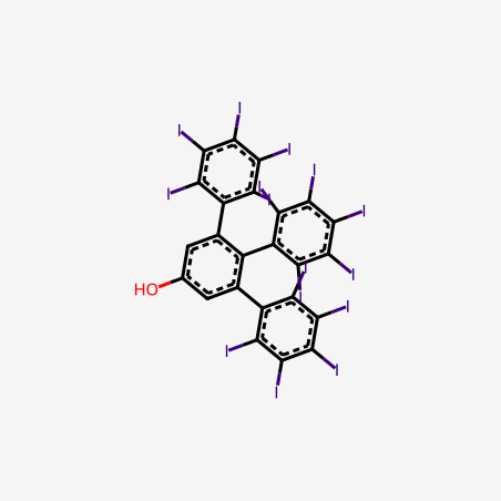 Oc1cc(-c2c(I)c(I)c(I)c(I)c2I)c(-c2c(I)c(I)c(I)c(I)c2I)c(-c2c(I)c(I)c(I)c(I)c2I)c1